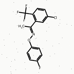 C/C(=N\Oc1ccc(F)cc1)c1cc(Cl)ccc1C(F)(F)F